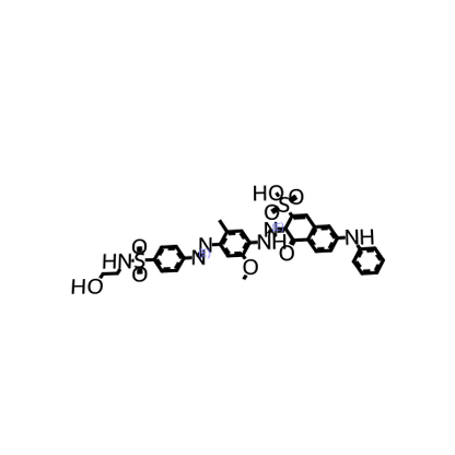 COc1cc(/N=N/c2ccc(S(=O)(=O)NCCO)cc2)c(C)cc1N/N=C1\C(=O)c2ccc(Nc3ccccc3)cc2C=C1S(=O)(=O)O